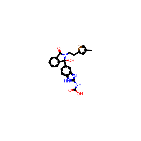 Cc1csc(CCN2C(=O)c3ccccc3C2(O)c2ccc3[nH]c(NC(=O)O)nc3c2)c1